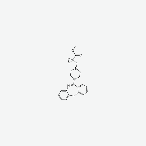 COC(=O)C1(CN2CCN(C3=Nc4ccccc4Cc4ccccc43)CC2)CC1